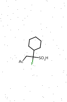 CC(=O)CC(F)(C1CCCCC1)S(=O)(=O)O